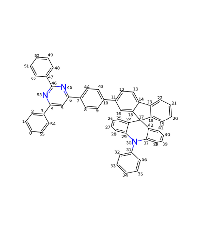 c1ccc(-c2cc(-c3ccc(-c4ccc5c(c4)C4(c6ccccc6-5)c5ccccc5N(c5ccccc5)c5ccccc54)cc3)nc(-c3ccccc3)n2)cc1